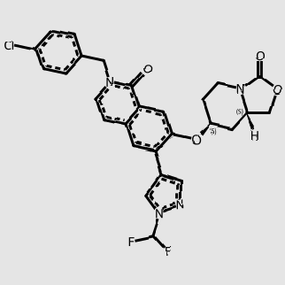 O=C1OC[C@@H]2C[C@@H](Oc3cc4c(=O)n(Cc5ccc(Cl)cc5)ccc4cc3-c3cnn(C(F)F)c3)CCN12